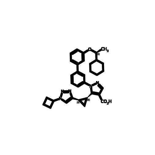 C[C@H](Oc1cccc(-c2cccc(-n3ncc(C(=O)O)c3[C@@H]3C[C@H]3c3cn(C4CCC4)nn3)c2)c1)C1CCCCC1